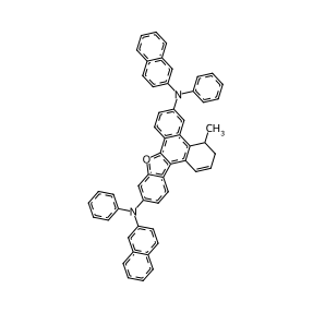 CC1CC=Cc2c1c1cc(N(c3ccccc3)c3ccc4ccccc4c3)ccc1c1oc3cc(N(c4ccccc4)c4ccc5ccccc5c4)ccc3c21